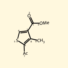 COC(=O)c1csc(C(C)=O)c1C